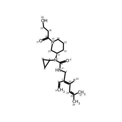 C=C/C(CNC(=O)N(C1CC1)[C@@H]1CCCN(C(=O)CCO)C1)=C(/F)C=C(C)C